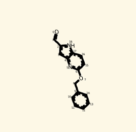 O=Cc1cc2nc(OCc3ccccc3)ccc2[nH]1